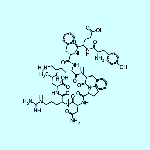 CC(C)C[C@H](NC(=O)[C@H](CCCNC(=N)N)NC(=O)[C@H](CC(N)=O)NC(=O)[C@@H]1CCCN1C(=O)[C@H](Cc1ccccc1)NC(=O)[C@H](CCCCN)NC(=O)[C@H](Cc1ccccc1)NC(=O)[C@H](CCC(=O)O)NC(=O)[C@@H](N)Cc1ccc(O)cc1)C(=O)O